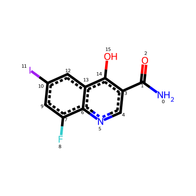 NC(=O)c1cnc2c(F)cc(I)cc2c1O